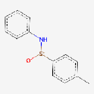 Cc1ccc([S+]([O-])Nc2ccccc2)cc1